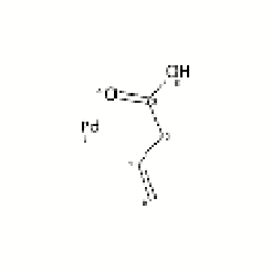 C=CCC(=O)O.[Pd]